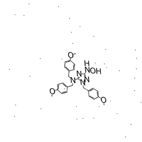 COc1ccc(CN(Cc2ccc(OC)cc2)c2nc(NO)nn2Cc2ccc(OC)cc2)cc1